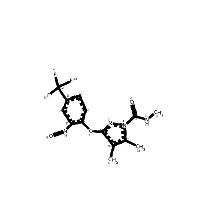 CNC(=O)n1nc(Oc2ccc(C(F)(F)F)cc2N=O)c(C)c1C